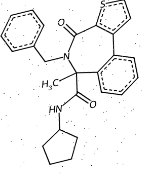 CC1(C(=O)NC2CCCC2)c2ccccc2-c2ccsc2C(=O)N1Cc1ccccc1